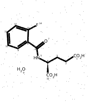 O.O=C(O)CC[C@H](NC(=O)c1ccccc1F)C(=O)O